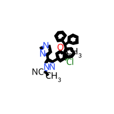 Cc1c(Cl)cc(-c2nn(C(C)C#N)cc2-c2ccncn2)cc1OC(c1ccccc1)(c1ccccc1)c1ccccc1